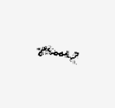 CC(C)(Cc1ccccn1)C(=O)NCc1nc(-c2ccc(-c3ccc(-c4c[nH]c(C(NC(=O)C(C)(C)C(O)c5ccccn5)C(C)(C)C)n4)cc3)cc2)c[nH]1